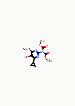 COc1nc(N(C(=O)OC(C)(C)C)C(=O)OC(C)(C)C)nc(C2CC2)c1Br